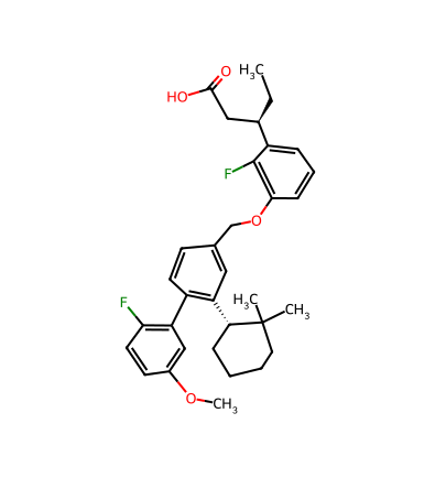 CC[C@H](CC(=O)O)c1cccc(OCc2ccc(-c3cc(OC)ccc3F)c([C@H]3CCCCC3(C)C)c2)c1F